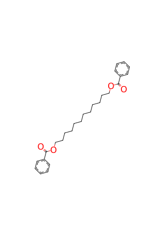 O=C(OCCCCCCCCCCCCOC(=O)c1ccccc1)c1ccccc1